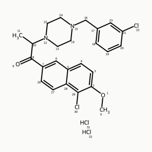 COc1ccc2cc(C(=O)C(C)N3CCN(Cc4cccc(Cl)c4)CC3)ccc2c1Cl.Cl.Cl